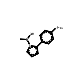 CCCCCCc1ccc(-c2cccn2B(C)O)cc1